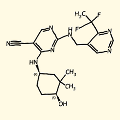 CC(F)(F)c1ncncc1CNc1ncc(C#N)c(N[C@@H]2CC[C@H](O)C(C)(C)C2)n1